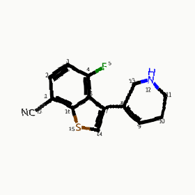 N#Cc1ccc(F)c2c(C3=CCCNC3)csc12